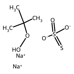 CC(C)(C)OO.O=S([O-])([O-])=S.[Na+].[Na+]